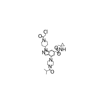 CC(C)C(=O)N1CCN(c2cc(S(=O)(=O)NC3(C)CC3)cc3c2cnn3C2CCN(C(=O)CCl)CC2)CC1